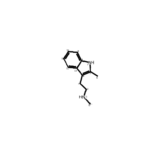 [CH2]NCCc1c(C)[nH]c2ccccc12